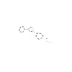 NS(=O)(=O)c1ccc(-n2cc(-c3ccccc3C(=O)O)cn2)cc1